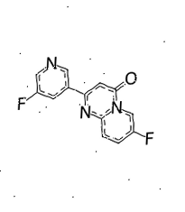 O=c1cc(-c2cncc(F)c2)nc2ccc(F)cn12